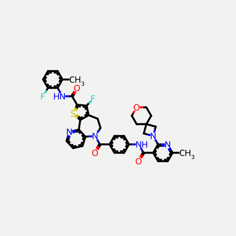 Cc1ccc(C(=O)Nc2ccc(C(=O)N3CCc4c(sc(C(=O)Nc5c(C)cccc5F)c4F)-c4ncccc43)cc2)c(N2CC3(CCOCC3)C2)n1